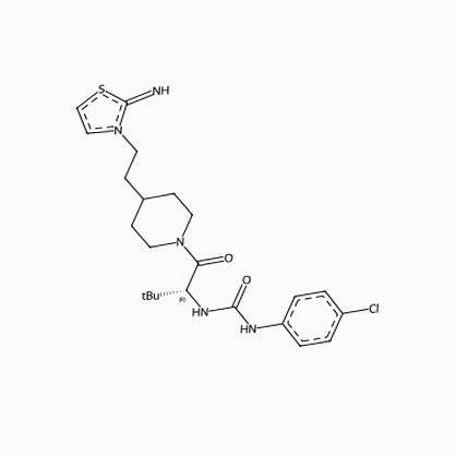 CC(C)(C)[C@@H](NC(=O)Nc1ccc(Cl)cc1)C(=O)N1CCC(CCn2ccsc2=N)CC1